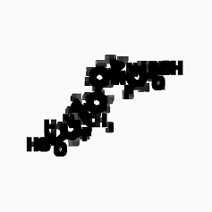 CN(c1ncc(C(=O)NO)cc1F)C1(c2cccc(-c3cccc(C4(Nc5ncc(C(=O)NO)cc5F)CC4)c3)c2)CC1